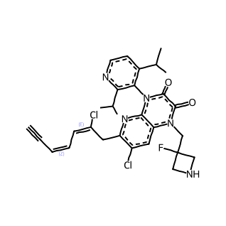 C#C/C=C\C=C(\Cl)Cc1nc2c(cc1Cl)n(CC1(F)CNC1)c(=O)c(=O)n2-c1c(C(C)C)ccnc1C(C)C